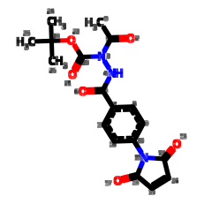 CC(=O)N(NC(=O)c1ccc(N2C(=O)C=CC2=O)cc1)C(=O)OC(C)(C)C